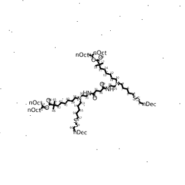 CCCCCCCCCCCSSCCCCCN(CCCCCCC(C)(C)C(=O)OC(CCCCCCCC)CCCCCCCC)CCNC(=O)CCC(=O)NCCN(CCCCCCC(C)(C)C(=O)OC(CCCCCCCC)CCCCCCCC)CCCCCSSCCCCCCCCCCC